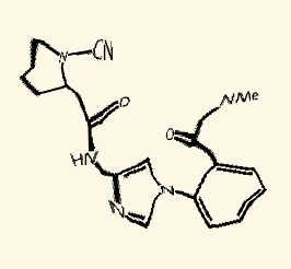 CNC(=O)c1ccccc1-n1cnc(NC(=O)C2CCCN2C#N)c1